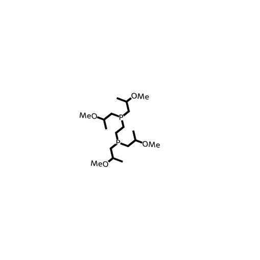 COC(C)CP(CCP(CC(C)OC)CC(C)OC)CC(C)OC